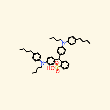 CCCCc1ccc(N(CCCC)c2ccc(C(c3ccc(N(CCCC)c4ccc(CCCC)cc4)cc3)c3ccccc3S(=O)(=O)O)cc2)cc1